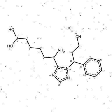 Cl.NC(CCCCB(O)O)c1nnnn1C(CCO)c1ccccc1